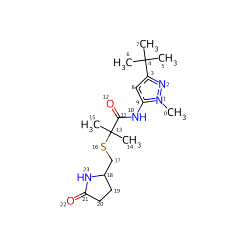 Cn1nc(C(C)(C)C)cc1NC(=O)C(C)(C)SCC1CCC(=O)N1